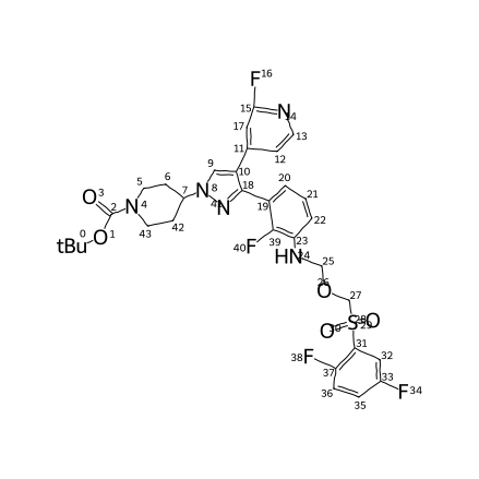 CC(C)(C)OC(=O)N1CCC(n2cc(-c3ccnc(F)c3)c(-c3cccc(NCOCS(=O)(=O)c4cc(F)ccc4F)c3F)n2)CC1